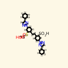 O=S(=O)(O)c1cc(-n2ncc(-c3ccccc3)n2)ccc1C=Cc1ccc(-n2ncc(-c3ccccc3)n2)cc1SOOO